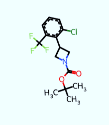 CC(C)(C)OC(=O)N1CC(c2c(Cl)cccc2C(F)(F)F)C1